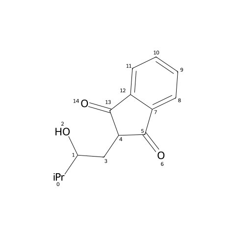 CC(C)C(O)CC1C(=O)c2ccccc2C1=O